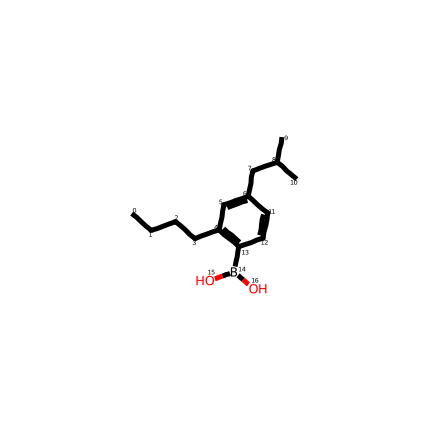 CCCCc1cc(CC(C)C)ccc1B(O)O